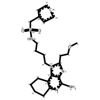 COCCc1nc2c(N)nc3c(c2n1CCCCNS(=O)(=O)Cc1ccccc1)CCCC3